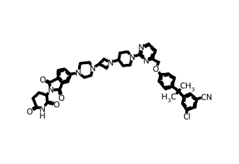 CC(C)(c1ccc(OCc2ccnc(N3CCC(N4CC(N5CCN(c6ccc7c(c6)C(=O)N(C6CCC(=O)NC6=O)C7=O)CC5)C4)CC3)n2)cc1)c1cc(Cl)cc(C#N)c1